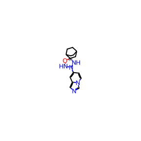 c1cn2cncc2cc1N1NO[C@@]2(CC3CCC2CC3)N1